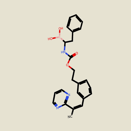 N#CC(=Cc1cccc(CCOC(=O)NC(Cc2ccccc2)B(O)O)c1)c1ncccn1